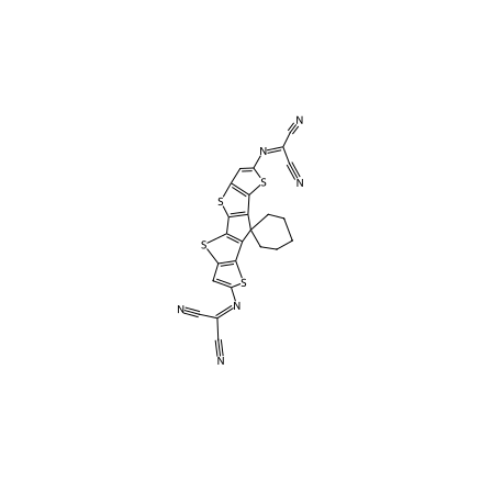 N#CC(C#N)=Nc1cc2sc3c(c2s1)C1(CCCCC1)c1c-3sc2cc(N=C(C#N)C#N)sc12